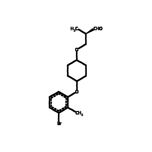 Cc1c(Br)cccc1OC1CCC(OC[C@@H](C)C=O)CC1